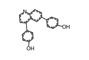 Oc1ccc(-c2ccc3nccc(-c4ccc(O)cc4)c3c2)cc1